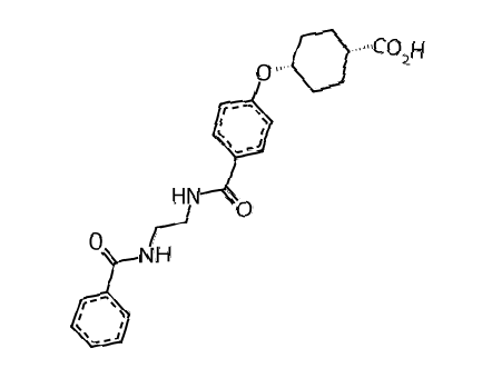 O=C(NCCNC(=O)c1ccc(O[C@H]2CC[C@@H](C(=O)O)CC2)cc1)c1ccccc1